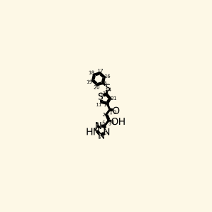 O=C(C=C(O)c1nn[nH]n1)c1csc(Sc2ccccc2)c1